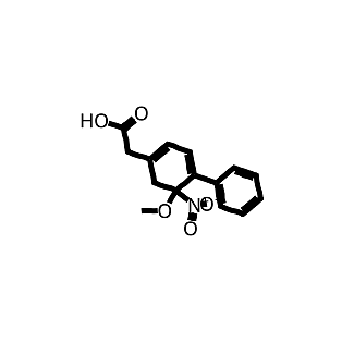 COC1([N+](=O)[O-])CC(CC(=O)O)=CC=C1c1ccccc1